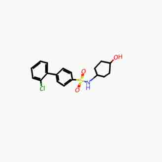 O=S(=O)(NC1CCC(O)CC1)c1ccc(-c2ccccc2Cl)cc1